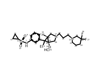 CCC1(c2cccc(NS(=O)(=O)C3CC3)c2)[C@@H]2CN(CCCN3CCCC(F)(F)C3)C[C@@H]21.Cl